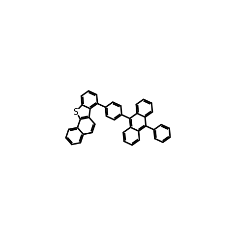 c1ccc(-c2c3ccccc3c(-c3ccc(-c4cccc5sc6c7ccccc7ccc6c45)cc3)c3ccccc23)cc1